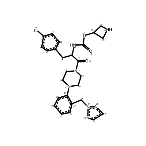 O=C(NC(Cc1ccc(Cl)cc1)C(=O)N1CCN(c2ccccc2Cn2nccn2)CC1)OC1CNC1